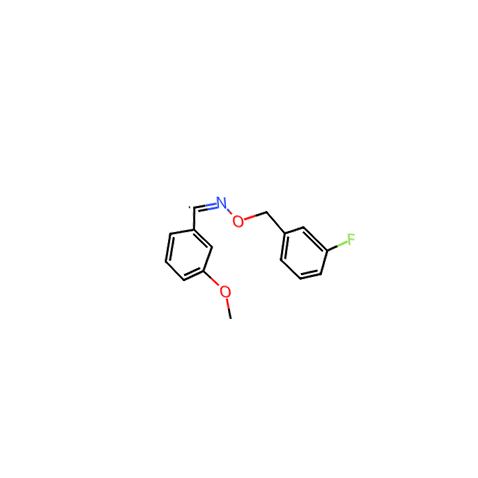 COc1cccc(/[C]=N\OCc2cccc(F)c2)c1